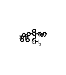 C/C=C\C=C/c1cc(-c2ccc3c4ccc5sc6ccccc6c5c4n(-c4ccccc4)c3c2)c2ccccc2c1-c1ccc(-c2ccccn2)nc1